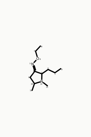 CCCC1/C(=N\OCC)CC(C)N1C